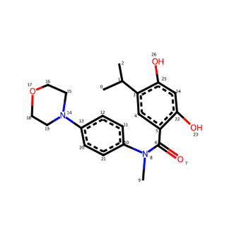 CC(C)c1cc(C(=O)N(C)c2ccc(N3CCOCC3)cc2)c(O)cc1O